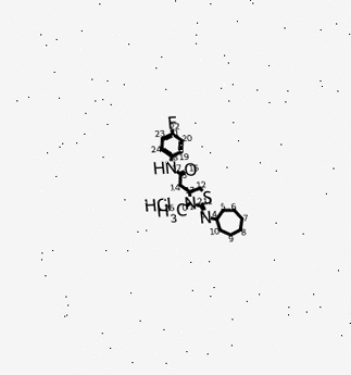 CN1C(=NC2CCCCCC2)SCC1CC(=O)Nc1ccc(F)cc1.Cl